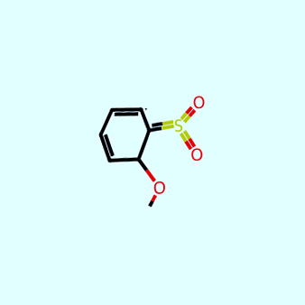 COC1C=CC=[C]C1=S(=O)=O